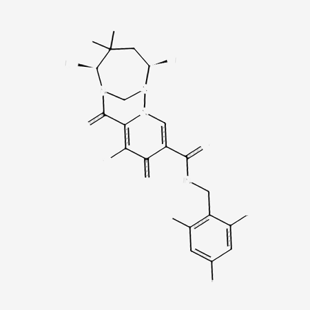 C[C@@H]1CC(F)(F)[C@H](C)N2CN1n1cc(C(=O)NCc3c(F)cc(F)cc3F)c(=O)c(O)c1C2=O